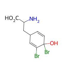 NC(CC1C=CC(O)(Br)C(Br)=C1)C(=O)O